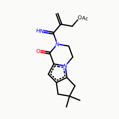 C=C(COC(C)=O)C(=N)N1CCn2c(cc3c2CC(C)(C)C3)C1=O